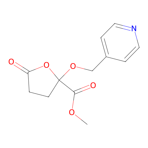 COC(=O)C1(OCc2ccncc2)CCC(=O)O1